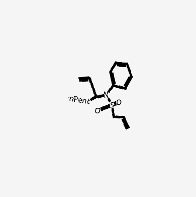 C=CCS(=O)(=O)N(c1ccccc1)C([CH]CCCC)C=C